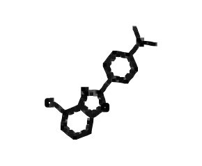 CN(C)c1ccc(-c2nc3c(Cl)cccc3o2)cc1